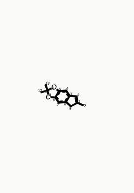 CC1=Cc2cc3c(cc2C1)OC(C)(C)O3